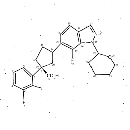 Cc1c(F)cccc1[C@]1(C(=O)O)CCC(c2ccc3cnn(C4CCCCO4)c3c2F)C1